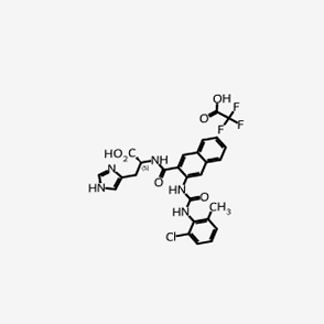 Cc1cccc(Cl)c1NC(=O)Nc1cc2ccccc2cc1C(=O)N[C@@H](Cc1c[nH]cn1)C(=O)O.O=C(O)C(F)(F)F